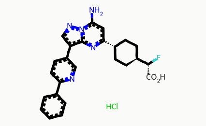 Cl.Nc1cc([C@H]2CC[C@H]([C@H](F)C(=O)O)CC2)nc2c(-c3ccc(-c4ccccc4)nc3)cnn12